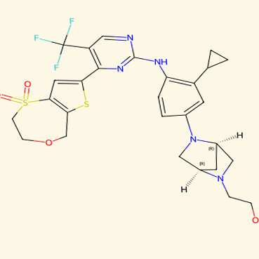 O=S1(=O)CCOCc2sc(-c3nc(Nc4ccc(N5C[C@H]6C[C@@H]5CN6CCO)cc4C4CC4)ncc3C(F)(F)F)cc21